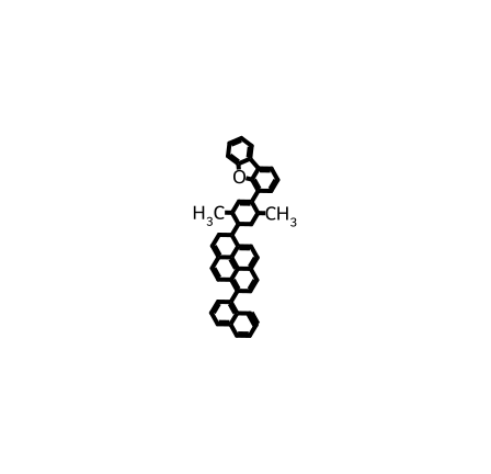 CC1CC(C2CC=c3ccc4c(-c5cccc6ccc#cc56)ccc5ccc2c3c54)C(C)C=C1c1cccc2c1oc1ccccc12